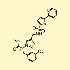 COC(=O)[C@H](Cc1cccc(OC)c1)n1cc(CNS(=O)(=O)c2ccc(-c3ccccn3)s2)nn1